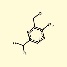 Nc1ncc(C(Cl)Cl)nc1CCl